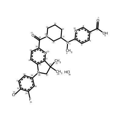 CN(c1ccc(C(=O)O)cn1)C1CCCN(C(=O)c2ccc3c(n2)C(C)(C)CN3c2ccc(Cl)c(F)c2)C1.Cl